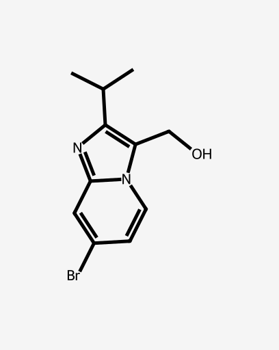 CC(C)c1nc2cc(Br)ccn2c1CO